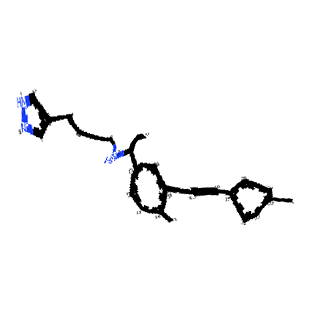 C=C(NCCCc1cn[nH]c1)c1ccc(C)c(C#Cc2ccc(C)cc2)c1